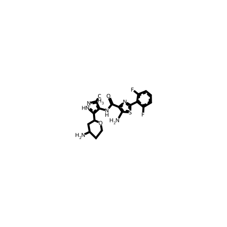 Cc1n[nH]c(C2CC(N)CCO2)c1NC(=O)c1nc(-c2c(F)cccc2F)sc1N